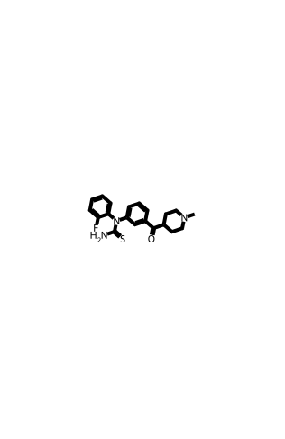 CN1CCC(C(=O)c2cccc(N(C(N)=S)c3ccccc3F)c2)CC1